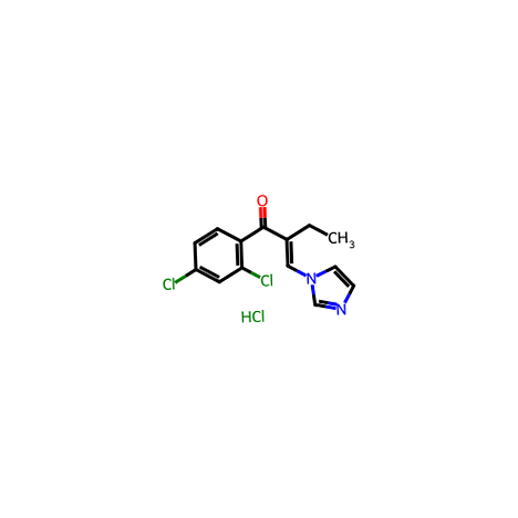 CCC(=Cn1ccnc1)C(=O)c1ccc(Cl)cc1Cl.Cl